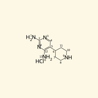 Cl.Nc1ncc(C2CCNCC2)c(N)n1